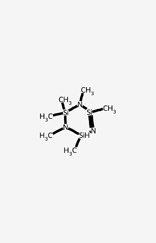 CN1[Si](C)=N[SiH](C)N(C)[Si]1(C)C